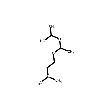 CC(O)OC(C)OCCN(C)C